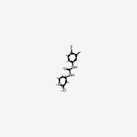 Cc1cc(NC(=O)Nc2ccnc(Cl)c2)ccc1F